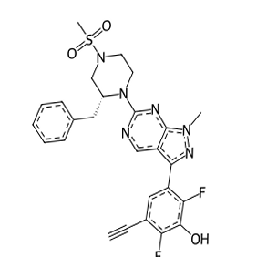 C#Cc1cc(-c2nn(C)c3nc(N4CCN(S(C)(=O)=O)C[C@H]4Cc4ccccc4)ncc23)c(F)c(O)c1F